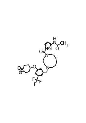 CC(=O)Nc1ccn(C(=O)N2CCCCCCN(Cc3cc(OC4CCS(=O)(=O)CC4)cc(C(F)(F)F)c3)CCC2)n1